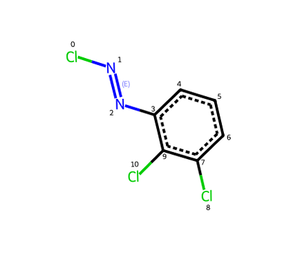 Cl/N=N/c1cccc(Cl)c1Cl